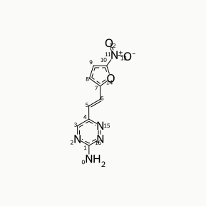 Nc1ncc(C=Cc2ccc([N+](=O)[O-])o2)nn1